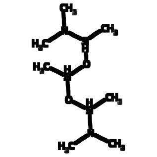 CN(C)[SiH](C)O[SiH](C)O[SiH](C)N(C)C